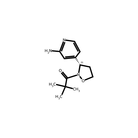 CC(C)(C)C(=O)N1OCC[C@H]1c1ccnc(N)c1